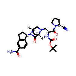 CC(C)(C)OC(=O)N[C@@H](CN1C[C@@H]2C[C@H]1C(=O)N2[C@@H]1CCc2cc(C(N)=O)ccc21)C(=O)N1CCC[C@H]1C#N